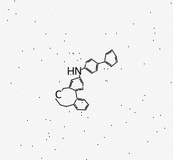 c1ccc(-c2ccc(Nc3ccc4c(c3)CCCCCc3ccccc3-4)cc2)cc1